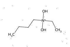 CCCC[N+](O)(O)CC